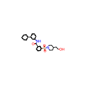 O=C(Nc1cccc(-c2ccccc2)c1)c1cccc(S(=O)(=O)N2CCC(CCO)CC2)c1